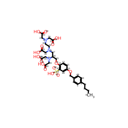 CCCCc1ccc(COc2ccc(OCC(CN(CCN(CC(=O)O)CC(=O)O)CC(=O)O)N(CC(=O)O)CC(=O)O)c(S(=O)(=O)O)c2)cc1